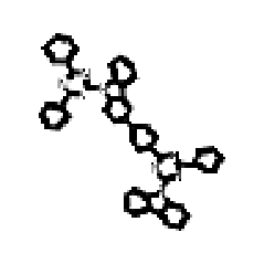 c1ccc(-c2nc(-c3ccc(-c4ccc5c(c4)c4ccccc4n5-c4nc(-c5ccccc5)nc(-c5ccccc5)n4)cc3)nc(-n3c4ccccc4c4ccccc43)n2)cc1